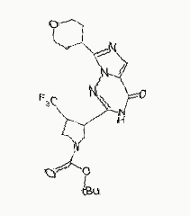 CC(C)(C)OC(=O)N1CC(c2nn3c(C4CCOCC4)ncc3c(=O)[nH]2)C(C(F)(F)F)C1